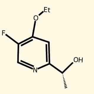 CCOc1cc([C@@H](C)O)ncc1F